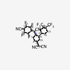 N#CC(C#N)=c1cc/c(=C(/C#N)c2c(F)c(F)c(C#N)c(F)c2F)c(-c2ccc(C(F)(F)F)c(C(F)(F)F)c2)c1